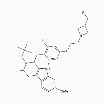 COc1ccc2c3c([nH]c2c1)C(Cc1c(F)cc(OCCN2CC(CF)C2)cc1F)N(CC(C)(C)F)C(C)C3